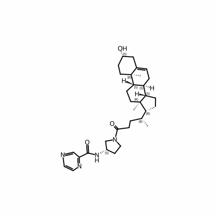 C[C@H](CCC(=O)N1CC[C@H](NC(=O)c2cnccn2)C1)[C@H]1CC[C@H]2[C@@H]3CC=C4C[C@@H](O)CC[C@]4(C)[C@H]3CC[C@]12C